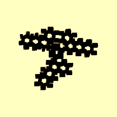 c1ccc2cc3c(cc(-c4nc(-c5cc6cc7ccccc7cc6c6ccccc56)nc(-c5cc6cc7ccccc7cc6c6ccccc56)n4)c4ccccc43)cc2c1